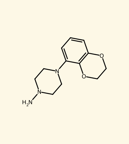 NN1CCN(c2cccc3c2OCCO3)CC1